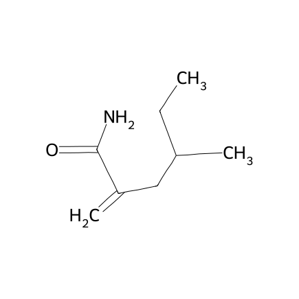 C=C(CC(C)CC)C(N)=O